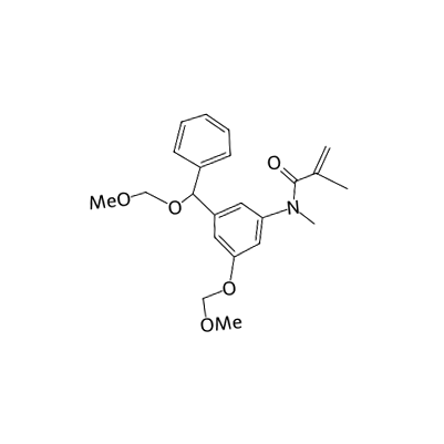 C=C(C)C(=O)N(C)c1cc(OCOC)cc(C(OCOC)c2ccccc2)c1